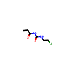 C=CC(=O)NC(=O)NCCCl